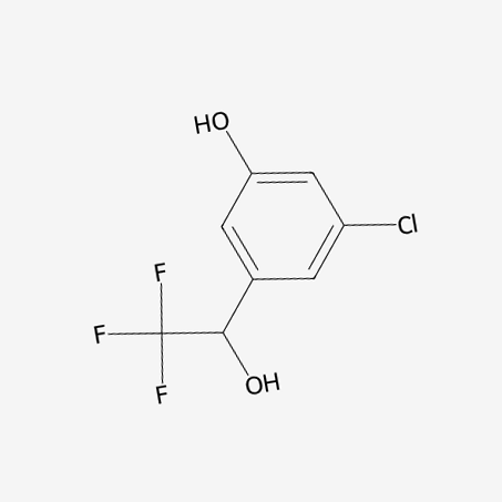 Oc1cc(Cl)cc(C(O)C(F)(F)F)c1